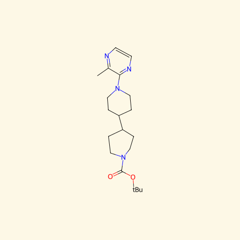 Cc1nccnc1N1CCC(C2CCN(C(=O)OC(C)(C)C)CC2)CC1